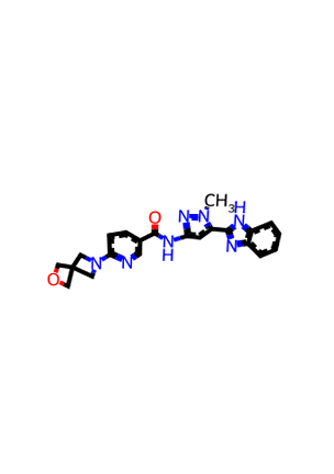 Cn1nc(NC(=O)c2ccc(N3CC4(COC4)C3)nc2)cc1-c1nc2ccccc2[nH]1